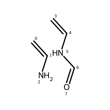 C=CN.C=CNC=O